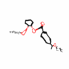 CCCCCOc1ccccc1OC(=O)c1ccc(C(C)OCC)cc1